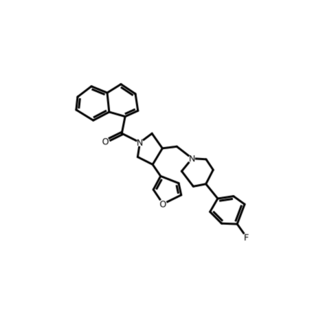 O=C(c1cccc2ccccc12)N1CC(CN2CCC(c3ccc(F)cc3)CC2)C(c2ccoc2)C1